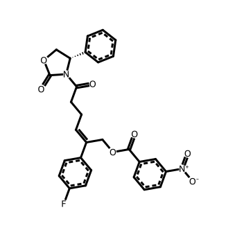 O=C(OCC(=CCCC(=O)N1C(=O)OC[C@@H]1c1ccccc1)c1ccc(F)cc1)c1cccc([N+](=O)[O-])c1